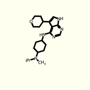 CC(C)N(C)C1CCC(Nc2ncnc3[nH]cc(C4CCOCC4)c23)CC1